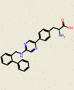 N[C@@H](Cc1ccc(-c2cnc(NCc3ccccc3-c3ccccc3)cn2)cc1)C(=O)O